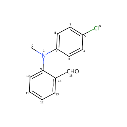 CN(c1ccc(Cl)cc1)c1ccccc1C=O